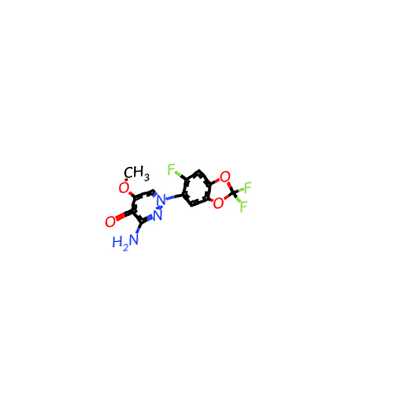 COc1cn(-c2cc3c(cc2F)OC(F)(F)O3)nc(N)c1=O